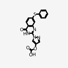 O=C(O)Oc1cnn(-c2nc3cc(Sc4ccccc4)ccc3c(=O)[nH]2)c1